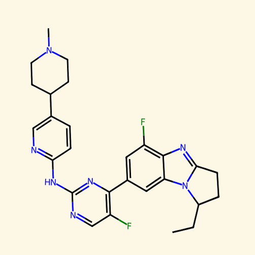 CCC1CCc2nc3c(F)cc(-c4nc(Nc5ccc(C6CCN(C)CC6)cn5)ncc4F)cc3n21